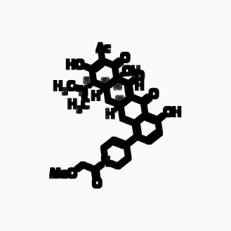 COCC(=O)N1CC=C(c2ccc(O)c3c2C[C@H]2C[C@H]4[C@H](N(C)C)C(O)=C(C(C)=O)C(=O)[C@@]4(O)C(O)=C2C3=O)CC1